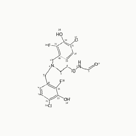 O=CNOCCN(Cc1ccc(Cl)c(O)c1F)Cc1ccc(Cl)c(O)c1F